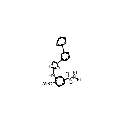 CCN(CC)S(=O)(=O)c1ccc(OC)c(Nc2ncc(-c3cccc(-c4ccccc4)c3)o2)c1